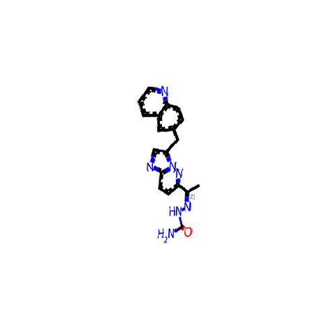 C/C(=N/NC(N)=O)c1ccc2ncc(Cc3ccc4ncccc4c3)n2n1